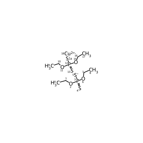 CCOP(=S)([S-])OCC.CCOP(=S)([S-])OCC.[Cu+2]